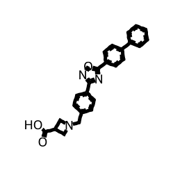 O=C(O)C1CN(Cc2ccc(-c3noc(-c4ccc(-c5ccccc5)cc4)n3)cc2)C1